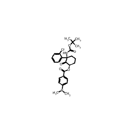 CN(C)c1ccc(C(=O)O[C@@H]2CCC[C@@](NC(=O)OC(C)(C)C)(c3ccccc3Cl)C2=O)cc1